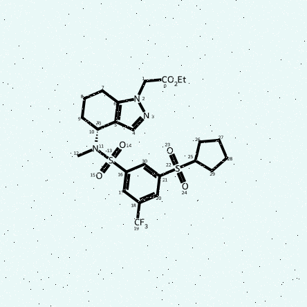 CCOC(=O)Cn1ncc2c1CCC[C@H]2N(C)S(=O)(=O)c1cc(C(F)(F)F)cc(S(=O)(=O)C2CCCC2)c1